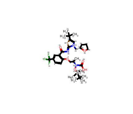 CC(COc1ccc(C(F)(F)F)cc1C(=O)N=c1sc(C(C)(C)C)cn1C[C@@H]1CCCO1)N(O[Si](C)(C)C(C)(C)C)C(=O)O